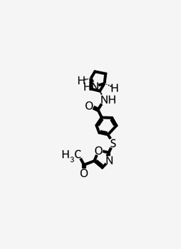 CC(=O)c1cnc(Sc2ccc(C(=O)N[C@@H]3C[C@H]4CC[C@@H]3N4)cc2)o1